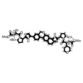 CCCC[C@H]1CCC(c2ncc(-c3ccc4c(c3)COc3cc5c(ccc6nc(C7CC[C@H](C)N7C(=O)[C@@H](NC(=O)OC)C7CCOCC7)[nH]c65)cc3-4)[nH]2)N1C(=O)C(NC(=O)OC)C(C)C